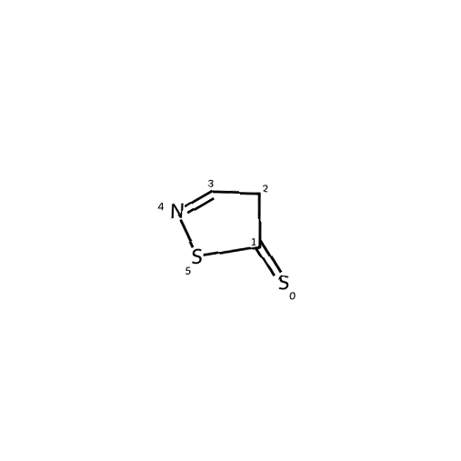 S=C1CC=NS1